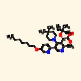 CCCCCCCOc1ccc(-c2cnc(C)c([C@H](OC(C)(C)C)C(=O)O)c2N2CCC(C)(C)CC2)nc1